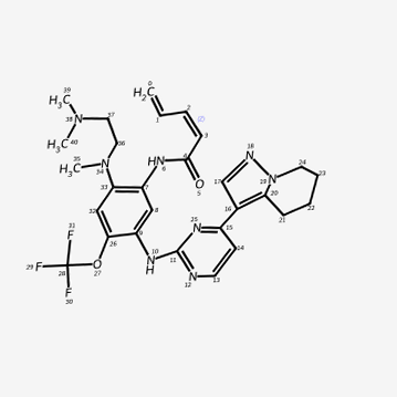 C=C/C=C\C(=O)Nc1cc(Nc2nccc(-c3cnn4c3CCCC4)n2)c(OC(F)(F)F)cc1N(C)CCN(C)C